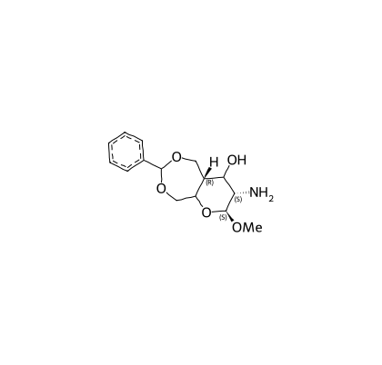 CO[C@H]1OC2COC(c3ccccc3)OC[C@@H]2C(O)[C@@H]1N